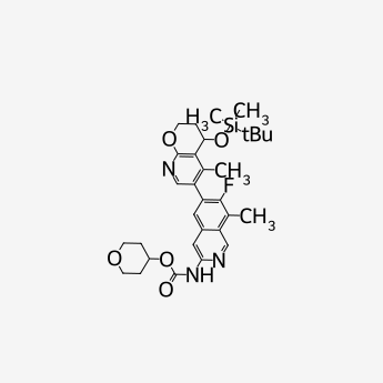 Cc1c(-c2cc3cc(NC(=O)OC4CCOCC4)ncc3c(C)c2F)cnc2c1C(O[Si](C)(C)C(C)(C)C)CCO2